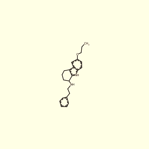 CCCOc1ccc2[nH]c3c(c2c1)CCCC3NCCc1ccccc1